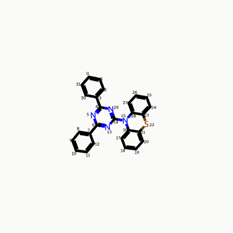 c1ccc(-c2nc(-c3ccccc3)nc(N3c4ccccc4Sc4ccccc43)n2)cc1